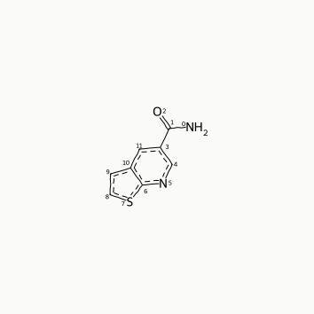 NC(=O)c1cnc2sccc2c1